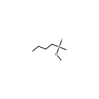 CCCC[Si](C)(I)OC